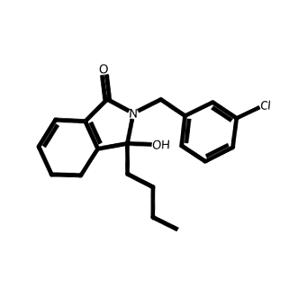 CCCCC1(O)C2=C(C=CCC2)C(=O)N1Cc1cccc(Cl)c1